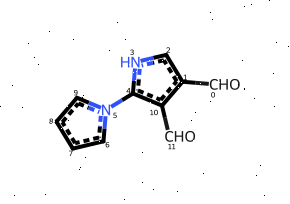 O=Cc1c[nH]c(-n2cccc2)c1C=O